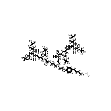 CC(C)(C)OC(=O)/N=C(\NCCCC[C@H](NC(=O)OC(C)(C)C)C(=O)NCCCN(CCCNC(=O)[C@@H](CCCCN/C(=N\C(=O)OC(C)(C)C)NC(=O)OC(C)(C)C)NC(=O)OC(C)(C)C)CCOc1ccc(CCCCN)cc1)NC(=O)OC(C)(C)C